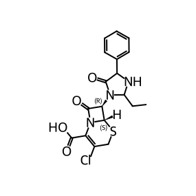 CCC1NC(c2ccccc2)C(=O)N1[C@@H]1C(=O)N2C(C(=O)O)=C(Cl)CS[C@@H]12